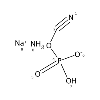 N.N#COP(=O)([O-])O.[Na+]